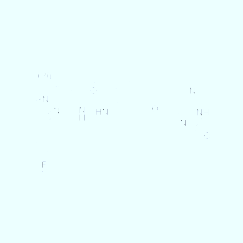 Cn1c(=O)[nH]c2nccc(Oc3cccc(NC(=O)Nc4cc(C(C)(C)C)nn4-c4ccc(F)cc4)c3)c21